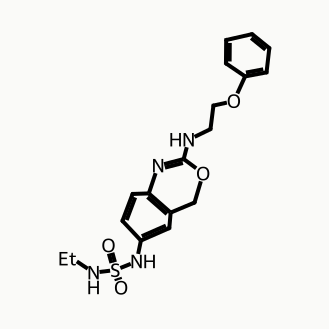 CCNS(=O)(=O)Nc1ccc2c(c1)COC(NCCOc1ccccc1)=N2